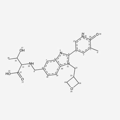 Cc1cc(-c2nc3cc(CNC(C(=O)O)C(C)O)ccc3n2CC2COC2)c[nH]c1=O